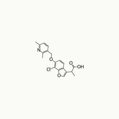 Cc1ccc(COc2ccc3c(C(C)C(=O)O)coc3c2Cl)c(C)n1